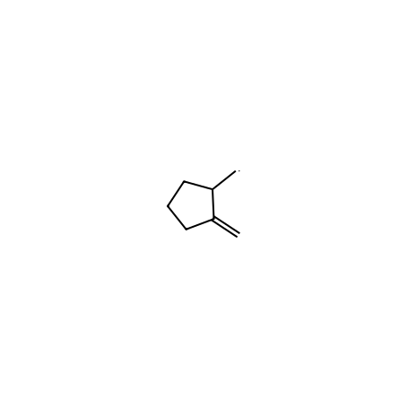 [CH2]C1CCCC1=C